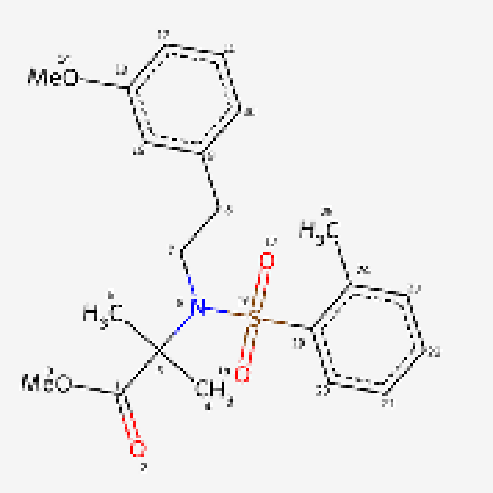 COC(=O)C(C)(C)N(CCc1cccc(OC)c1)S(=O)(=O)c1ccccc1C